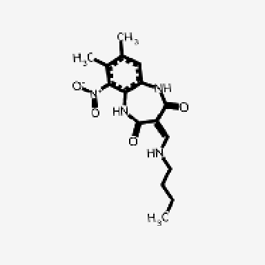 CCCCNC=C1C(=O)Nc2cc(C)c(C)c([N+](=O)[O-])c2NC1=O